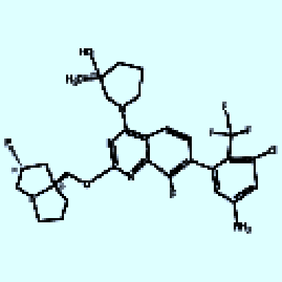 C[C@@]1(O)CCCN(c2nc(OC[C@@]34CCCN3C[C@H](F)C4)nc3c(F)c(-c4cc(N)cc(Cl)c4C(F)(F)F)ccc23)C1